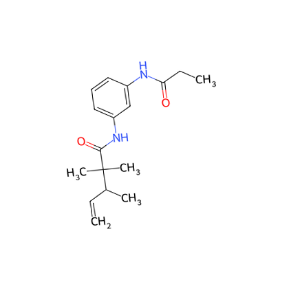 C=CC(C)C(C)(C)C(=O)Nc1cccc(NC(=O)CC)c1